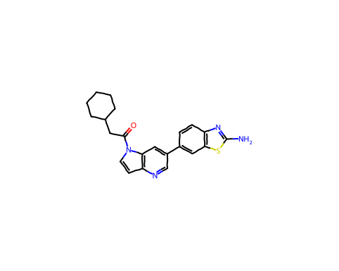 Nc1nc2ccc(-c3cnc4ccn(C(=O)CC5CCCCC5)c4c3)cc2s1